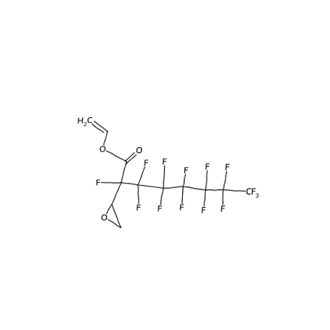 C=COC(=O)C(F)(C1CO1)C(F)(F)C(F)(F)C(F)(F)C(F)(F)C(F)(F)C(F)(F)F